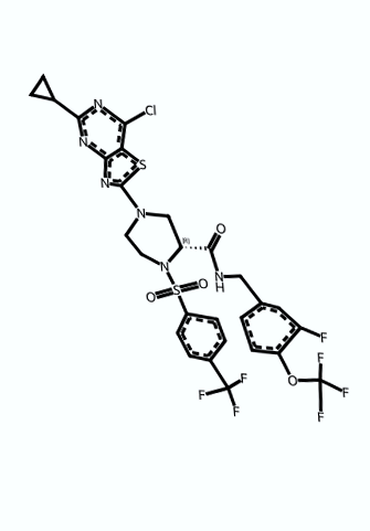 O=C(NCc1ccc(OC(F)(F)F)c(F)c1)[C@H]1CN(c2nc3nc(C4CC4)nc(Cl)c3s2)CCN1S(=O)(=O)c1ccc(C(F)(F)F)cc1